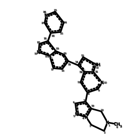 CN1CCn2ncc(-c3cnc4[nH]cc(-c5ccn6ncc(-c7cccnc7)c6c5)c4c3)c2C1